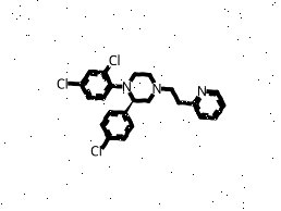 Clc1ccc([C@@H]2CN(CCc3ccccn3)CCN2c2ccc(Cl)cc2Cl)cc1